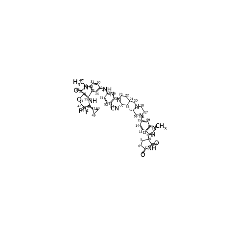 Cn1nc(C2CCC(=O)NC2=O)c2ccc(N3CCN(CC4CCN(c5nc(Nc6ccc7c(c6)c6c(c(=O)n7C)OCC(F)(F)[C@H](C7CC7)N6)ccc5C#N)CC4)CC3)cc21